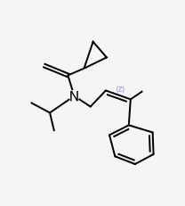 C=C(C1CC1)N(C/C=C(/C)c1ccccc1)C(C)C